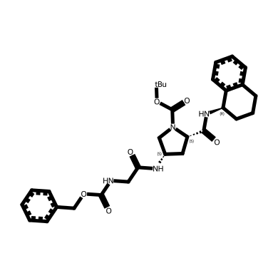 CC(C)(C)OC(=O)N1C[C@@H](NC(=O)CNC(=O)OCc2ccccc2)C[C@H]1C(=O)N[C@@H]1CCCc2ccccc21